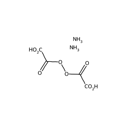 N.N.O=C(O)C(=O)OOC(=O)C(=O)O